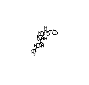 Cn1cc(-c2cn3ncc(C(=O)Nc4cc(NC(=O)CN5CCOCC5)cnc4F)c3cn2)cn1